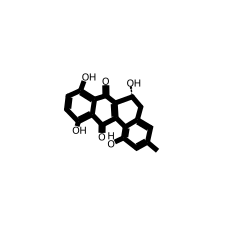 Cc1cc(O)c2c(c1)C[C@@H](O)C1=C2C(=O)c2c(O)ccc(O)c2C1=O